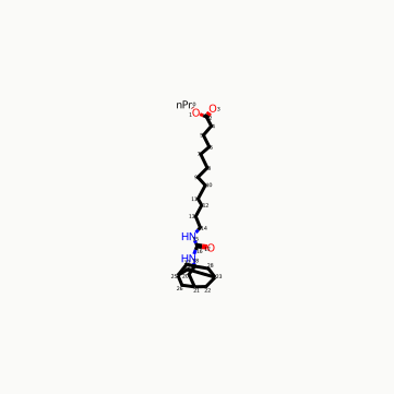 CCCOC(=O)CCCCCCCCCCCNC(=O)NC12CC3CC(CC(C3)C1)C2